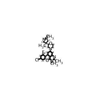 Cc1nc2cc(N3CCO[C@@H](C4(C)C=NN(C)C4)C3)cc(-c3ccc(Cl)cc3F)c2c(=O)n1C